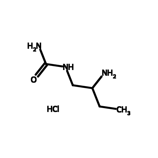 CCC(N)CNC(N)=O.Cl